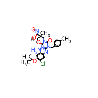 Cc1ccc(Cn2c(=O)n(CC(C)(C)C(=O)N=O)c(=O)n(N)/c2=N\c2ccc(OC(C)C)c(Cl)c2)cc1